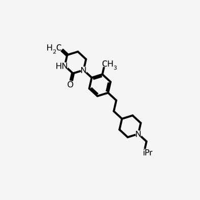 C=C1CCN(c2ccc(CCC3CCN(CC(C)C)CC3)cc2C)C(=O)N1